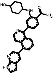 NC(=O)c1ccc(-c2nccc3c(-c4cnc5[nH]ccc5c4)cccc23)cc1NC1CCC(O)CC1